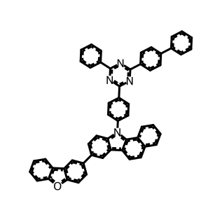 c1ccc(-c2ccc(-c3nc(-c4ccccc4)nc(-c4ccc(-n5c6ccc(-c7ccc8oc9ccccc9c8c7)cc6c6ccc7ccccc7c65)cc4)n3)cc2)cc1